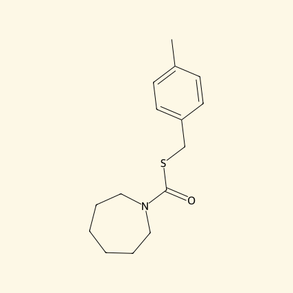 Cc1ccc(CSC(=O)N2CCCCCC2)cc1